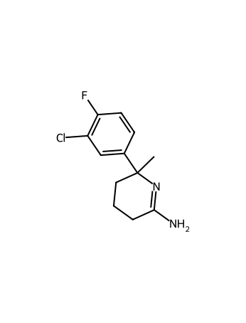 CC1(c2ccc(F)c(Cl)c2)CCCC(N)=N1